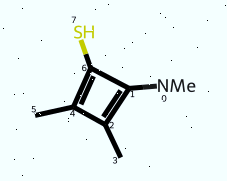 CNC1=C(C)C(C)=C1S